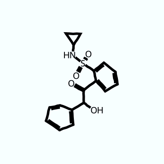 O=C(c1ccccc1S(=O)(=O)NC1CC1)C(O)c1ccccc1